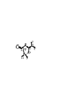 CC(C)C(CC=O)C[N+](C)(C)C